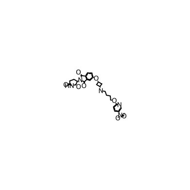 CN(CCCCOc1ccc([N+](=O)[O-])cn1)[C@H]1C[C@H](Oc2ccc3c(c2)C(=O)N(C2CCC(=O)NC2=O)C3=O)C1